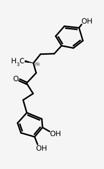 C[C@@H](CCc1ccc(O)cc1)CC(=O)CCc1ccc(O)c(O)c1